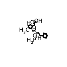 C[C@@H]1C[C@@H]2OC(O)C[C@@H]2[C@H]1CC[C@H](CCc1ccccc1)OPP